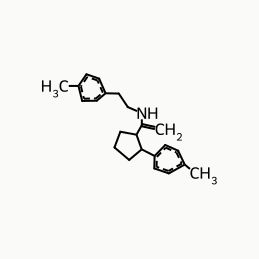 C=C(NCCc1ccc(C)cc1)C1CCCC1c1ccc(C)cc1